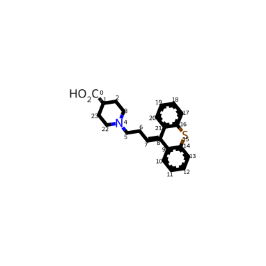 O=C(O)C1CCN(CCC=C2c3ccccc3Sc3ccccc32)CC1